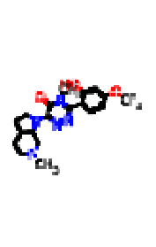 CN1CCC2CCN(c3nnc(-c4ccc(OC(F)(F)F)cc4O)n(C)c3=O)C2C1